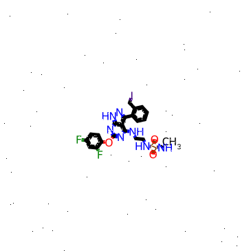 CNS(=O)(=O)NCCNc1nc(Oc2ccc(F)cc2F)nc2[nH]nc(-c3ccccc3CI)c12